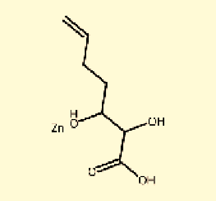 C=CCCC(O)C(O)C(=O)O.[Zn]